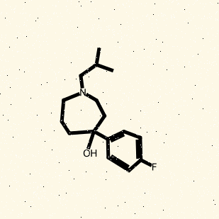 C[C](C)CN1CCCC(O)(c2ccc(F)cc2)CC1